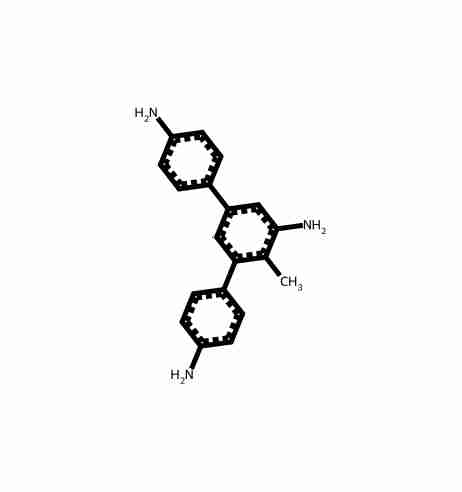 Cc1c(-c2ccc(N)cc2)[c]c(-c2ccc(N)cc2)cc1N